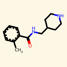 Cc1ccccc1C(=O)NCC1CCNCC1